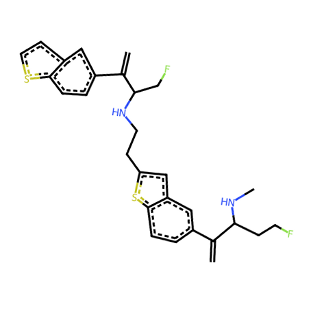 C=C(c1ccc2sc(CCNC(CF)C(=C)c3ccc4sccc4c3)cc2c1)C(CCF)NC